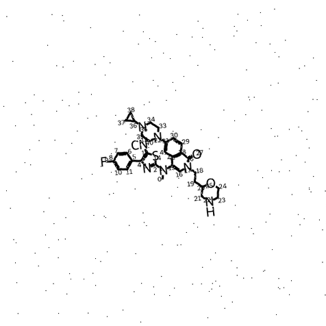 CN(c1nc(-c2ccc(F)cc2)c(C#N)s1)c1cn(CCC2CNCCO2)c(=O)c2ccc(N3CCN(C4CC4)CC3)cc12